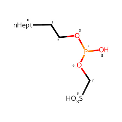 CCCCCCCCCOP(O)OCS(=O)(=O)O